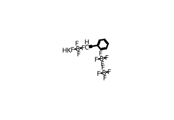 C#Cc1ccccc1.F[B-](F)(F)F.F[B-](F)(F)F.F[B-](F)(F)F.[KH]